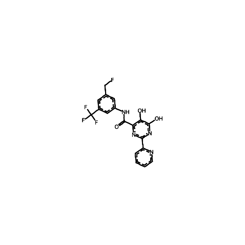 O=C(Nc1cc(CF)cc(C(F)(F)F)c1)c1nc(-c2ccccn2)nc(O)c1O